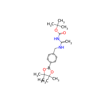 C=C(NCc1ccc(B2OC(C)(C)C(C)(C)O2)cc1)NC(=O)OC(C)(C)C